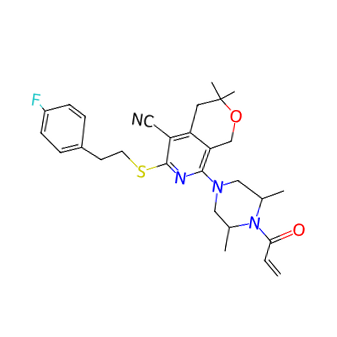 C=CC(=O)N1C(C)CN(c2nc(SCCc3ccc(F)cc3)c(C#N)c3c2COC(C)(C)C3)CC1C